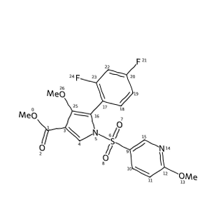 COC(=O)c1cn(S(=O)(=O)c2ccc(OC)nc2)c(-c2ccc(F)cc2F)c1OC